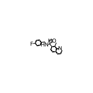 O=C(NCc1ccc(F)cc1)c1ccc2cccnc2c1CO